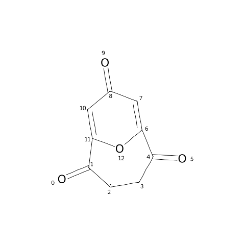 O=C1[CH]CC(=O)c2cc(=O)cc1o2